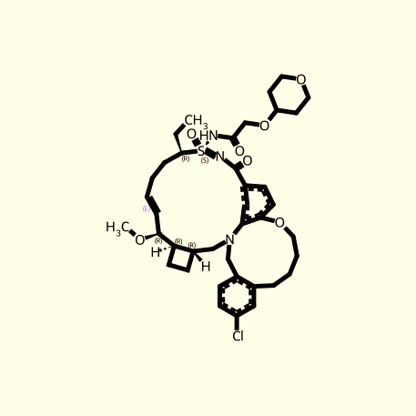 CC[C@@H]1CC/C=C/[C@H](OC)[C@@H]2CC[C@H]2CN2Cc3ccc(Cl)cc3CCCCOc3ccc(cc32)C(=O)N=[S@@]1(=O)NC(=O)COC1CCOCC1